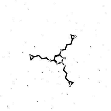 C1=C(OCCCC2CO2)NN(OCCCC2CO2)N=C1OCCCC1CO1